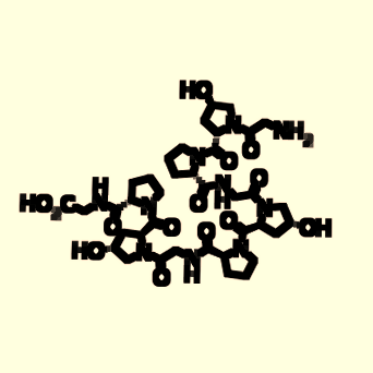 NCC(=O)N1C[C@H](O)C[C@H]1C(=O)N1CCC[C@H]1C(=O)NCC(=O)N1C[C@H](O)C[C@H]1C(=O)N1CCC[C@H]1C(=O)NCC(=O)N1C[C@H](O)C[C@H]1C(=O)N1CCC[C@H]1C(=O)NCC(=O)O